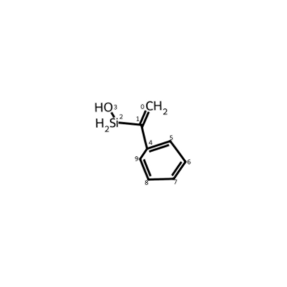 C=C([SiH2]O)c1ccccc1